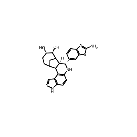 Nc1nc2ccc([C@@H]3Nc4ccc5[nH]ncc5c4C4C5CC[C@@H](O)[C@@H](O)C(C5)[C@H]43)cc2s1